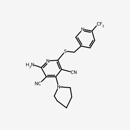 N#Cc1c(N)nc(SCc2ccc(C(F)(F)F)nc2)c(C#N)c1N1CCCCC1